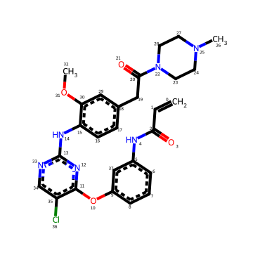 C=CC(=O)Nc1cccc(Oc2nc(Nc3ccc(CC(=O)N4CCN(C)CC4)cc3OC)ncc2Cl)c1